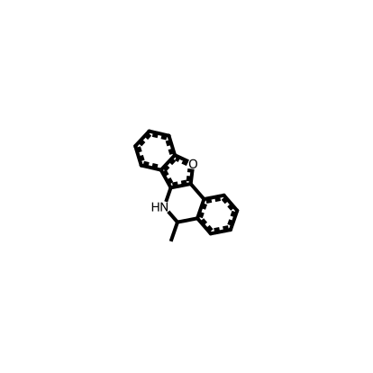 CC1Nc2c(oc3ccccc23)-c2ccccc21